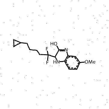 COc1ccc2c(c1)N=C(O)C(C(F)(F)CCCCC1CC1)N2